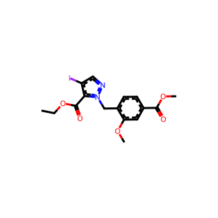 CCOC(=O)c1c(I)cnn1Cc1ccc(C(=O)OC)cc1OC